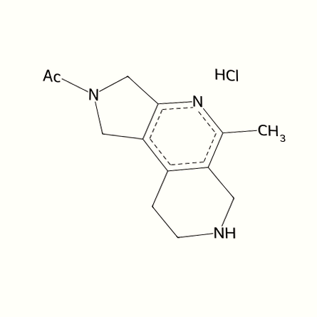 CC(=O)N1Cc2nc(C)c3c(c2C1)CCNC3.Cl